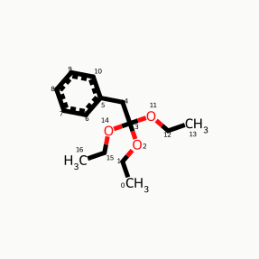 CCOC(Cc1ccccc1)(OCC)OCC